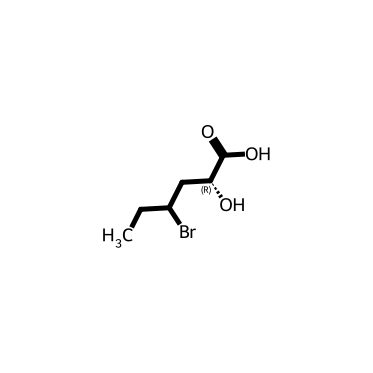 CCC(Br)C[C@@H](O)C(=O)O